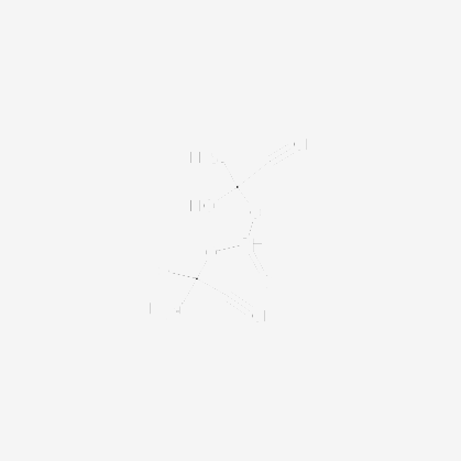 C#CC(O)([SiH3])O[PH](=O)OC(O)([SiH3])C#C